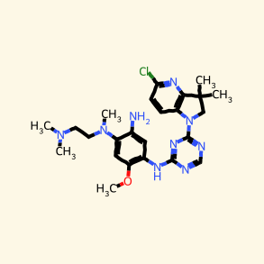 COc1cc(N(C)CCN(C)C)c(N)cc1Nc1ncnc(N2CC(C)(C)c3nc(Cl)ccc32)n1